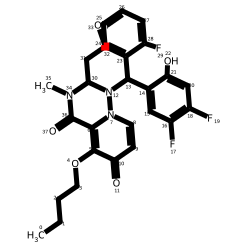 CCCCOc1c2n(ccc1=O)N(C(c1cc(F)c(F)cc1O)c1ccccc1F)C(CCO)N(C)C2=O